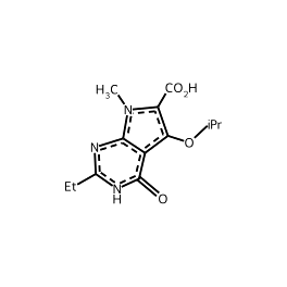 CCc1nc2c(c(OC(C)C)c(C(=O)O)n2C)c(=O)[nH]1